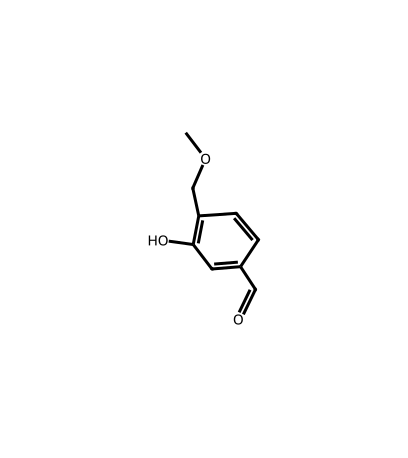 COCc1ccc(C=O)cc1O